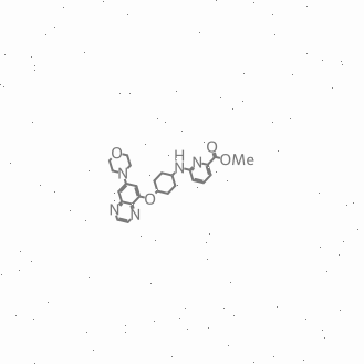 COC(=O)c1cccc(NC2CCC(Oc3cc(N4CCOCC4)cc4nccnc34)CC2)n1